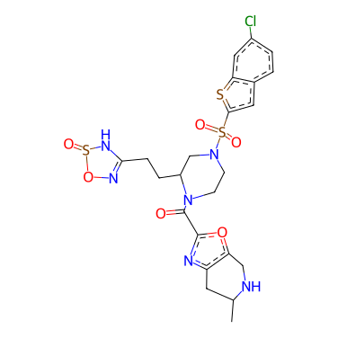 CC1Cc2nc(C(=O)N3CCN(S(=O)(=O)c4cc5ccc(Cl)cc5s4)CC3CCC3=NOS(=O)N3)oc2CN1